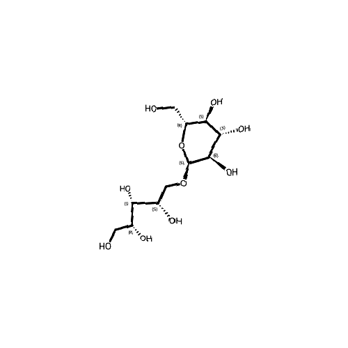 OC[C@@H](O)[C@H](O)[C@@H](O)CO[C@H]1O[C@H](CO)[C@@H](O)[C@H](O)[C@H]1O